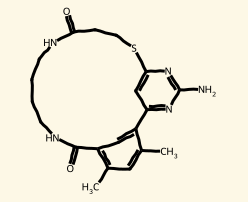 Cc1cc(C)c2cc1C(=O)NCCCCNC(=O)CCSc1cc-2nc(N)n1